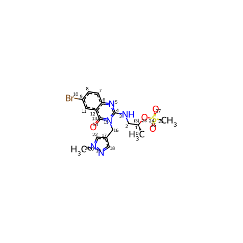 C[C@@H](CNc1nc2ccc(Br)cc2c(=O)n1Cc1cnn(C)c1)OS(C)(=O)=O